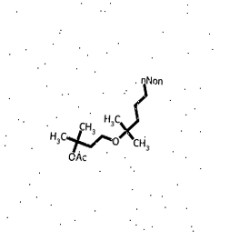 CCCCCCCCCCCCC(C)(C)OCCC(C)(C)OC(C)=O